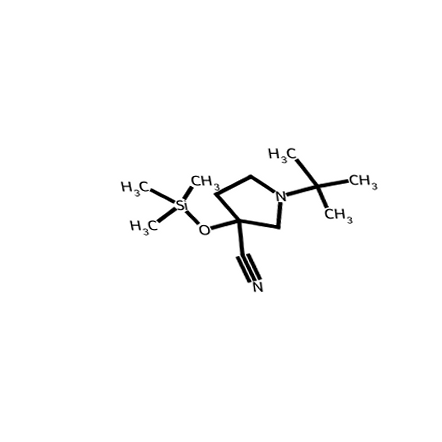 CC(C)(C)N1CCC(C#N)(O[Si](C)(C)C)C1